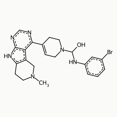 CN1CCc2[nH]c3ncnc(C4=CCN(C(O)Nc5cccc(Br)c5)CC4)c3c2C1